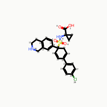 O=C(O)C1(NS(=O)(=O)C2(c3ccc4c(c3)CNCC4)C=CC(c3ccc(Cl)cc3)=CC2)CC1